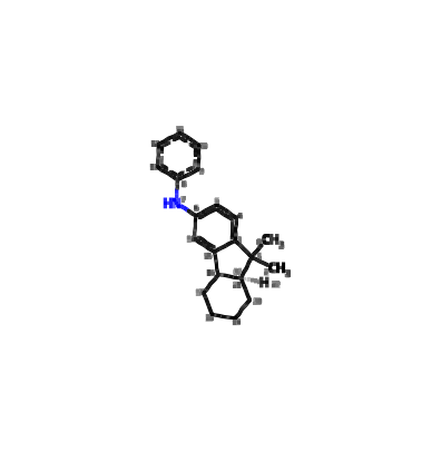 CC1(C)C2=C=C=C(Nc3ccccc3)C=C2C2CCCC[C@@H]21